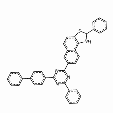 c1ccc(-c2ccc(-c3nc(-c4ccccc4)nc(-c4ccc5c6c(ccc5c4)SC(c4ccccc4)N6)n3)cc2)cc1